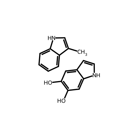 Cc1c[nH]c2ccccc12.Oc1cc2cc[nH]c2cc1O